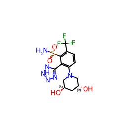 NS(=O)(=O)c1c(C(F)(F)F)ccc(N2C[C@H](O)C[C@@H](O)C2)c1-c1nnn[nH]1